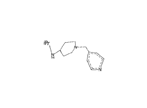 CC(C)NC1CCN(Cc2ccncc2)CC1